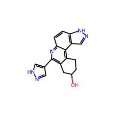 OC1CCc2c(c(-c3cn[nH]c3)nc3ccc4[nH]ncc4c23)C1